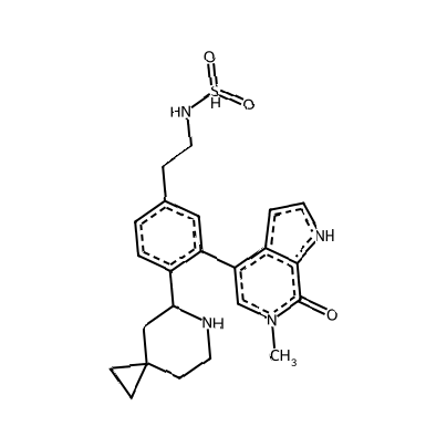 Cn1cc(-c2cc(CCN[SH](=O)=O)ccc2C2CC3(CCN2)CC3)c2cc[nH]c2c1=O